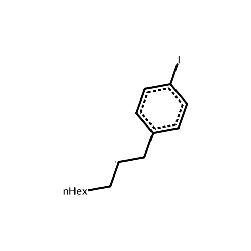 CCCCCCC[CH]Cc1ccc(I)cc1